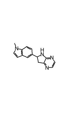 Cn1ccc2cc(C3Cc4nccnc4N3)ccc21